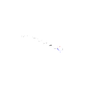 CCCCCCCCCCCCCCC=CCC1=NCCO1